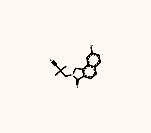 CC(C)(C#N)CN1Cc2c(ccc3ccc(Br)cc23)C1=O